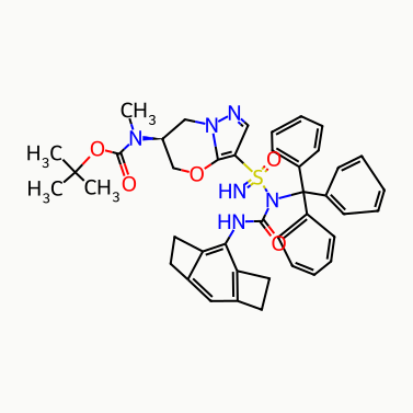 CN(C(=O)OC(C)(C)C)[C@@H]1COc2c(S(=N)(=O)N(C(=O)Nc3c4c(cc5c3CC5)CC4)C(c3ccccc3)(c3ccccc3)c3ccccc3)cnn2C1